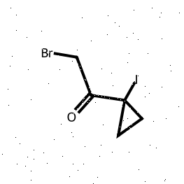 O=C(CBr)C1(I)CC1